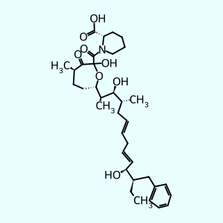 CC[C@H](Cc1ccccc1)[C@@H](O)/C=C/C/C=C/C[C@@H](C)[C@H](O)[C@@H](C)[C@@H]1CC[C@@H](C)C(=O)C(O)(C(=O)N2CCCC[C@H]2C(=O)O)O1